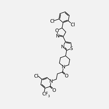 O=C(CCn1cc(Cl)cc(C(F)(F)F)c1=O)N1CCC(c2nc(C3=NOC(c4c(Cl)cccc4Cl)C3)cs2)CC1